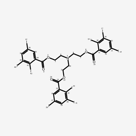 O=C(OCCN(CCOC(=O)c1cc(I)cc(I)c1I)CCOC(=O)c1cc(I)cc(I)c1I)c1cc(I)cc(I)c1I